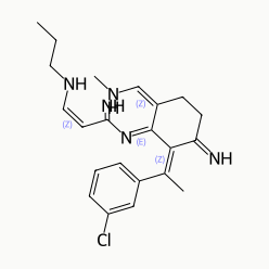 CCCN/C=C\C(=N)/N=C1C(=C/NC)\CCC(=N)C\1=C(/C)c1cccc(Cl)c1